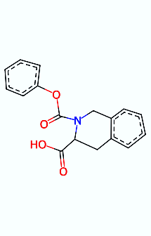 O=C(O)C1Cc2ccccc2CN1C(=O)Oc1ccccc1